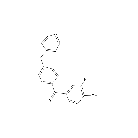 Cc1ccc(C(=S)c2ccc(Cc3ccccc3)cc2)cc1F